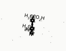 Cc1c(C#Cc2ccc(C(C)C(=O)O)cc2)ccc(-n2ccnc2)c1C(C)C